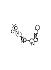 CC(C)(C)OC(=O)N1CCC(n2cc(-c3cnc4ccn(N=Cc5ccccc5)c4c3)cn2)CC1